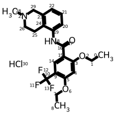 CCOc1cc(OCC)c(C(F)(F)F)cc1C(=O)Nc1cccc2c1CCN(C)C2.Cl